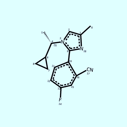 Cc1cn([C@@H](C)C2CC2)c(-c2ccc(F)cc2C#N)n1